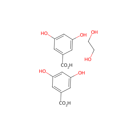 O=C(O)c1cc(O)cc(O)c1.O=C(O)c1cc(O)cc(O)c1.OCCO